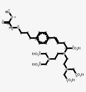 CCOC(=O)CN(CCN(CCN(CC(=O)OCC)CC(=O)OCC)C(CC=Cc1ccc(CCCONC(=O)OC(C)(C)C)cc1)C(=O)OCC)CC(=O)OCC